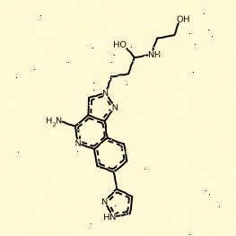 Nc1nc2cc(-c3cc[nH]n3)ccc2c2nn(CCC(O)NCCO)cc12